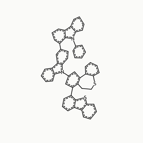 c1ccc(-n2c3ccccc3c3cccc(-c4ccc5c(c4)c4ccccc4n5-c4cc5c(c(-c6cccc7c6sc6ccccc67)c4)CCSc4ccccc4-5)c32)cc1